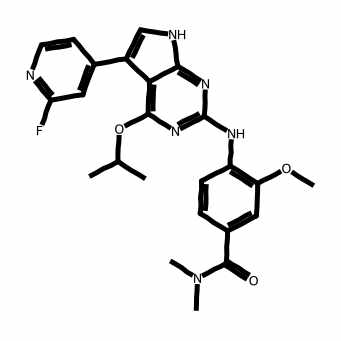 COc1cc(C(=O)N(C)C)ccc1Nc1nc(OC(C)C)c2c(-c3ccnc(F)c3)c[nH]c2n1